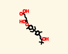 CCC(CC)(c1ccc(/C=C/C(O)C(C)(C)C)c(C)c1)c1ccc(OC[C@H](O)CCCC(=O)O)c(C)c1